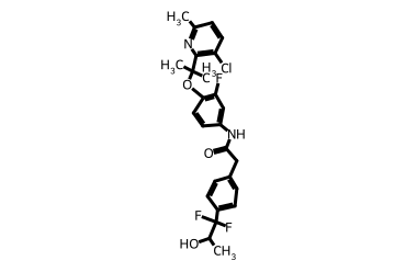 Cc1ccc(Cl)c(C(C)(C)Oc2ccc(NC(=O)Cc3ccc(C(F)(F)C(C)O)cc3)cc2F)n1